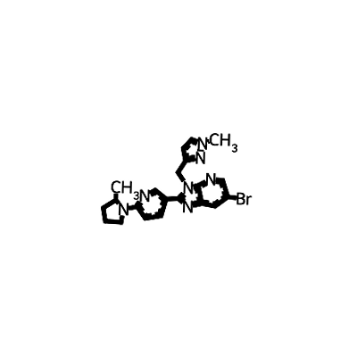 CC1CCCN1c1ccc(-c2nc3cc(Br)cnc3n2Cc2ccn(C)n2)cn1